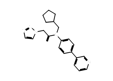 O=C(Cn1ccnn1)N(CC1CCCC1)c1ccc(-c2cccnc2)cc1